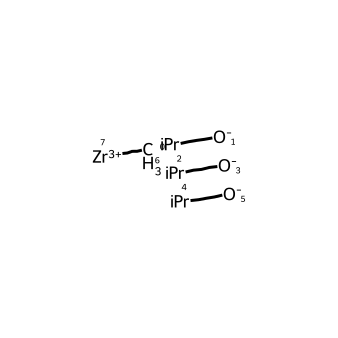 CC(C)[O-].CC(C)[O-].CC(C)[O-].[CH3][Zr+3]